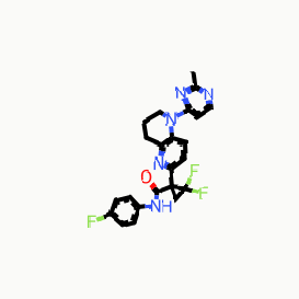 Cc1nccc(N2CCCc3nc(C4(C(=O)Nc5ccc(F)cc5)CC4(F)F)ccc32)n1